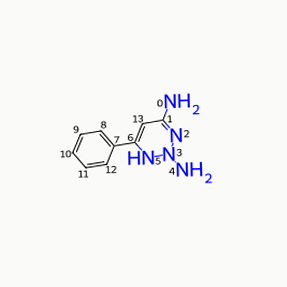 NC1=NN(N)NC(c2ccccc2)=C1